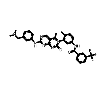 Cc1ccc(NC(=O)c2cccc(C(F)(F)F)c2)cc1-n1c(C)c2cnc(Nc3cccc(CN(C)C)c3)nc2nc1=O